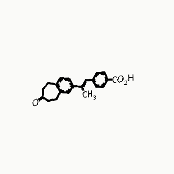 C/C(=C\c1ccc(C(=O)O)cc1)c1ccc2c(c1)CCC(=O)CC2